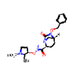 CC(C)(C)C1[C@H](ONC(=O)[C@@H]2CC[C@@H]3CN2C(=O)N3OCc2ccccc2)CCN1C(=O)O